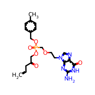 C=CCC(=O)COP(=O)(COCCn1cnc2c(=O)[nH]c(N)nc21)OCc1ccc(C)cc1